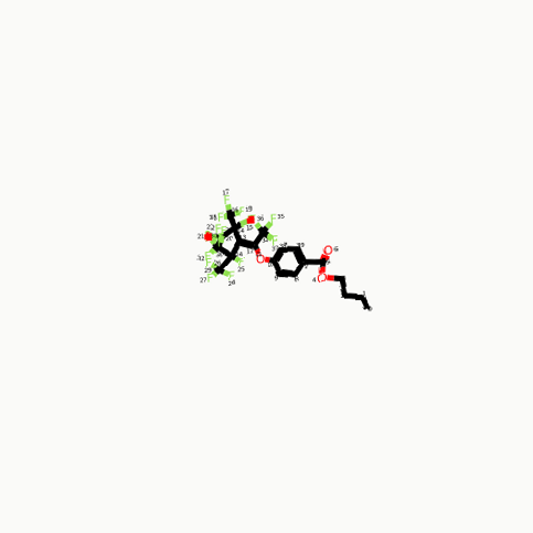 CCCCOC(=O)c1ccc(OC(=C(C(F)(C(F)(F)F)C(F)(F)F)C(F)(C(F)(F)F)C(F)(F)F)C(F)(F)F)cc1